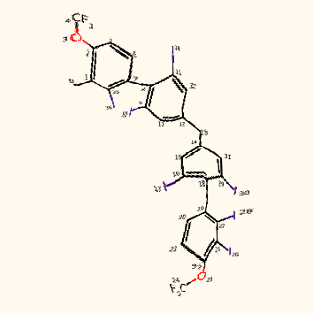 Cc1c(OC(F)(F)F)ccc(-c2c(I)cc(Cc3cc(I)c(-c4ccc(OC(F)(F)F)c(I)c4I)c(I)c3)cc2I)c1I